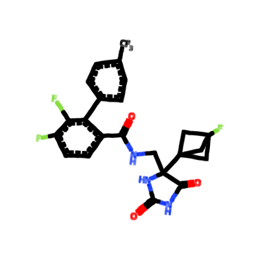 O=C1NC(=O)C(CNC(=O)c2ccc(F)c(F)c2-c2ccc(C(F)(F)F)cc2)(C23CC(F)(C2)C3)N1